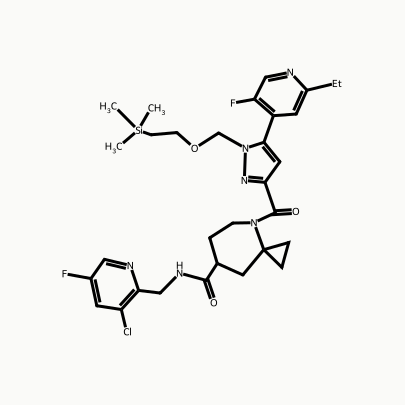 CCc1cc(-c2cc(C(=O)N3CCC(C(=O)NCc4ncc(F)cc4Cl)CC34CC4)nn2COCC[Si](C)(C)C)c(F)cn1